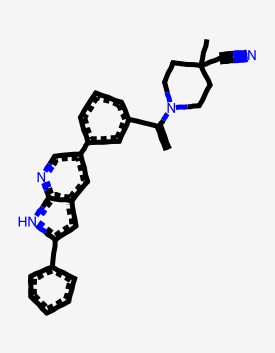 C=C(c1cccc(-c2cnc3[nH]c(-c4ccccc4)cc3c2)c1)N1CCC(C)(C#N)CC1